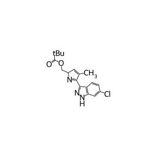 CC1=CC(COC(=O)C(C)(C)C)N=C1c1n[nH]c2cc(Cl)ccc12